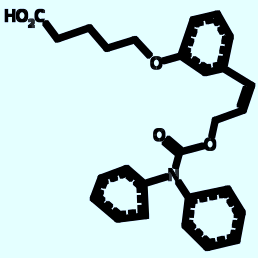 O=C(O)CCCCOc1cccc(/C=C\COC(=O)N(c2ccccc2)c2ccccc2)c1